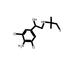 CC(C)(CF)NCC(O)c1cc(Cl)c(N)c(Cl)c1